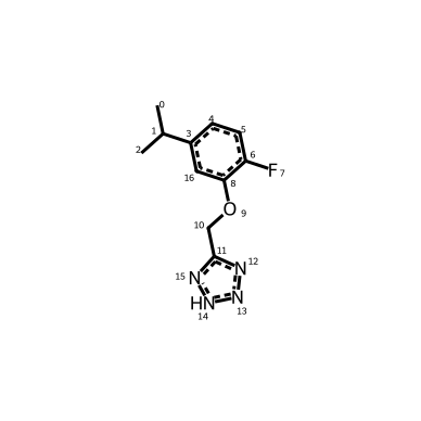 CC(C)c1ccc(F)c(OCc2nn[nH]n2)c1